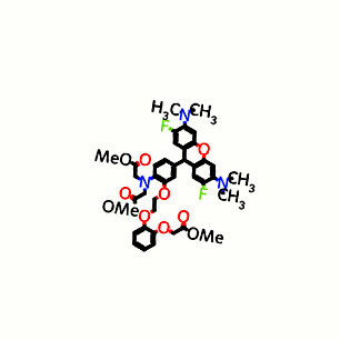 COC(=O)COc1ccccc1OCCOc1cc(C2c3cc(F)c(N(C)C)cc3Oc3cc(N(C)C)c(F)cc32)ccc1N(CC(=O)OC)CC(=O)OC